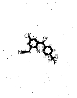 N#CCc1cc(Cl)cc(C(=O)c2ccc(C(F)(F)F)cc2)c1N